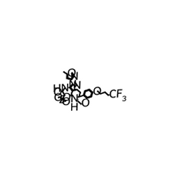 Cc1cc(-n2nc3c(c2NC(=O)CS(C)(=O)=O)C(=O)N[C@@]2(CCOc4cc(OCCCC(F)(F)F)ccc42)C3)no1